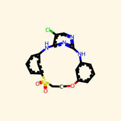 O=S1(=O)CCOc2cccc(c2)Nc2ncc(Cl)c(n2)Nc2cccc1c2